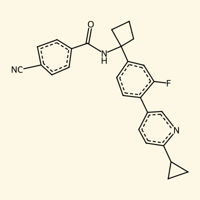 N#Cc1ccc(C(=O)NC2(c3ccc(-c4ccc(C5CC5)nc4)c(F)c3)CCC2)cc1